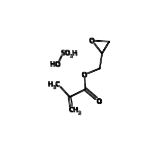 C=C(C)C(=O)OCC1CO1.O=S(=O)(O)O